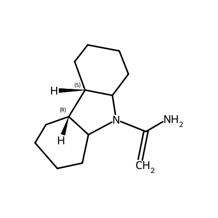 C=C(N)N1C2CCCC[C@H]2[C@H]2CCCCC21